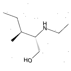 CCN[C@H](CO)[C@@H](C)CC